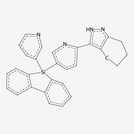 c1cncc([Si]2(c3ccc(-c4[nH]nc5c4CCCC5)nc3)c3ccccc3-c3ccccc32)c1